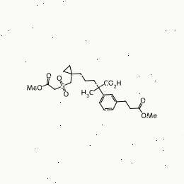 COC(=O)CCc1cccc(C(C)(CCCC2(CS(=O)(=O)CC(=O)OC)CC2)C(=O)O)c1